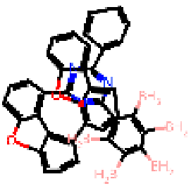 Bc1c(B)c(B)c(-c2nc(-c3ccccc3)nc(-c3cccc4oc5cccc(-c6cccc7c6oc6ccccc67)c5c34)n2)c(B)c1B